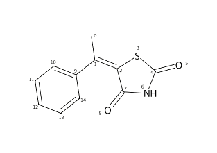 C/C(=C1\SC(=O)NC1=O)c1ccccc1